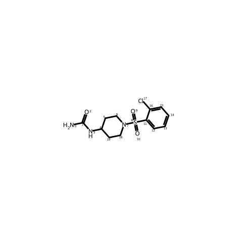 NC(=O)NC1CCN(S(=O)(=O)c2ccccc2Cl)CC1